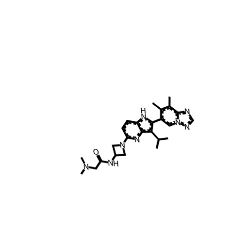 Cc1c(-c2[nH]c3ccc(N4CC(NC(=O)CN(C)C)C4)nc3c2C(C)C)cn2ncnc2c1C